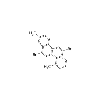 Cc1ccc2c(c1)c(Br)cc1c2cc(Br)c2cccc(C)c21